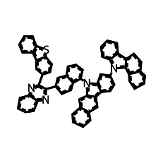 c1ccc2cc3c(cc2c1)c1ccc(-n2c4ccccc4c4ccc5ccccc5c42)cc1n3-c1cccc2cc(-c3nc4ccccc4nc3-c3ccc4sc5ccccc5c4c3)ccc12